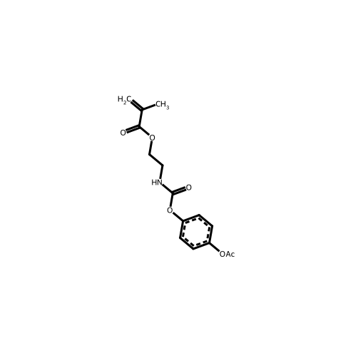 C=C(C)C(=O)OCCNC(=O)Oc1ccc(OC(C)=O)cc1